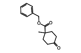 CC1(C(=O)OCc2ccccc2)CCC(=O)CC1